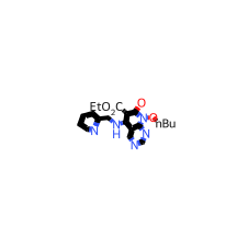 CCCCOn1c(=O)c(C(=O)OCC)c(NCc2ccccn2)c2cncnc21